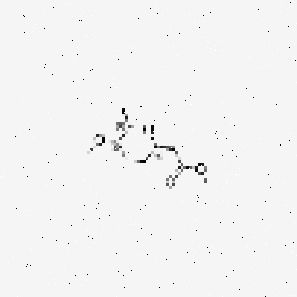 COC(=O)C[C@H]1CC[C@H](OC)[C@@H](C)O1